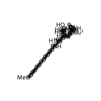 CCCCc1nc2c(N)nc3cc(C(=O)O)ccc3c2n1Cc1ccc(C[N+](C)(C)Cc2ccc(O[C@@H]3O[C@H](C(=O)O)[C@@H](O)[C@H](O)[C@H]3O)c(NC(=O)CCNC(=O)[C@@H](N)CCCCNC(=O)CCOCCOCCOCCOCCOCCOCCOCCOCCOCCOCCOCCOC)c2)cc1